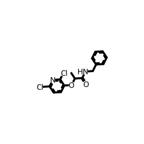 CC(Oc1ccc(Cl)nc1Cl)C(=O)NCc1ccccc1